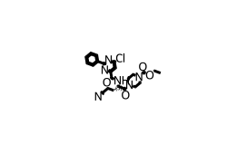 CCOC(=O)N1CCN(C(=O)[C@H](CCC#N)NC(=O)c2cc(Cl)nc(-c3ccccc3)n2)CC1